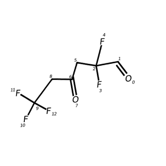 O=CC(F)(F)CC(=O)CC(F)(F)F